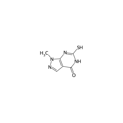 Cn1ncc2c(=O)[nH]c(S)nc21